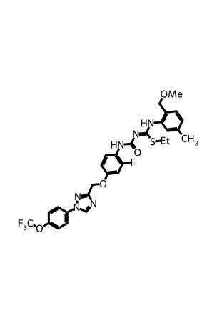 CCS/C(=N\C(=O)Nc1ccc(OCc2ncn(-c3ccc(OC(F)(F)F)cc3)n2)cc1F)Nc1cc(C)ccc1COC